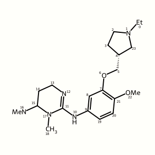 CCN1CC[C@@H](COc2cc(NC3=NCCC(NC)N3C)ccc2OC)C1